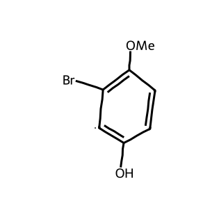 COc1ccc(O)[c]c1Br